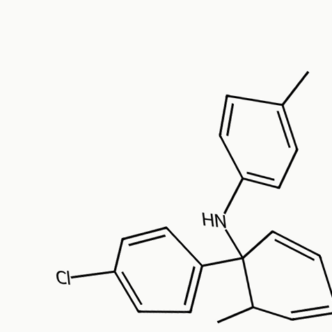 Cc1ccc(NC2(c3ccc(Cl)cc3)C=CC=CC2C)cc1